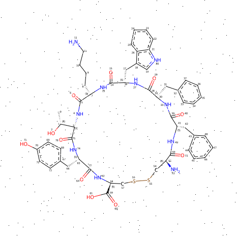 C[C@@H](O)[C@@H]1NC(=O)[C@H](CCCCN)NC(=O)[C@H](Cc2c[nH]c3ccccc23)NC(=O)[C@H](Cc2ccccc2)NC(=O)[C@H](Cc2ccccc2)NC(=O)[C@@H](N)CSSC[C@@H](C(=O)O)NC(=O)[C@H](Cc2ccc(O)cc2)NC1=O